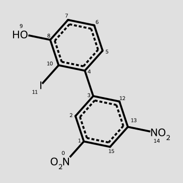 O=[N+]([O-])c1cc(-c2cccc(O)c2I)cc([N+](=O)[O-])c1